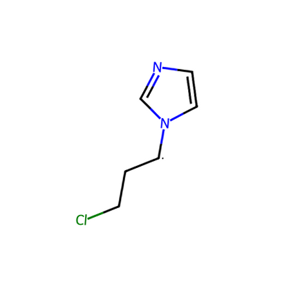 ClCC[CH]n1ccnc1